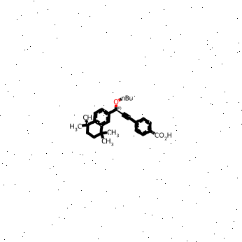 CCCCO[C@@H](C#Cc1ccc(C(=O)O)cc1)c1ccc2c(c1)C(C)(C)CCC2(C)C